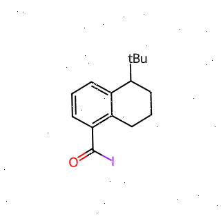 CC(C)(C)C1CCCc2c(C(=O)I)cccc21